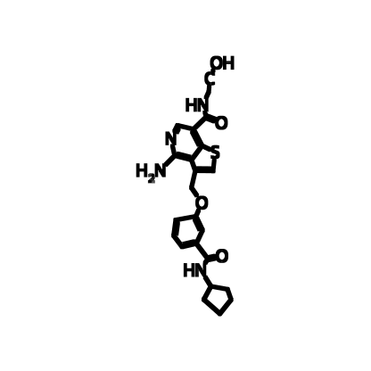 Nc1ncc(C(=O)NCCO)c2scc(COc3cccc(C(=O)NC4CCCC4)c3)c12